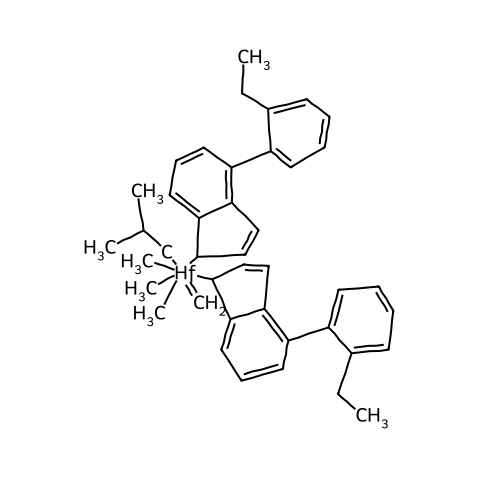 [CH2]=[Hf]([CH3])([CH3])([CH3])([CH2]C(C)C)([CH]1C=Cc2c(-c3ccccc3CC)cccc21)[CH]1C=Cc2c(-c3ccccc3CC)cccc21